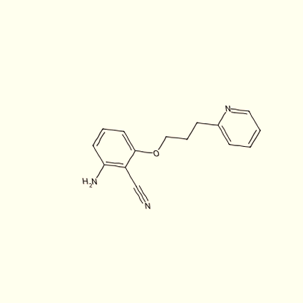 N#Cc1c(N)cccc1OCCCc1ccccn1